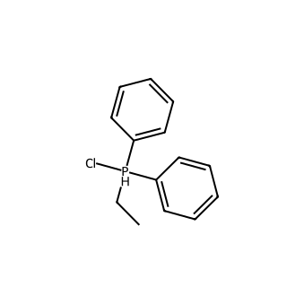 CC[PH](Cl)(c1ccccc1)c1ccccc1